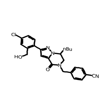 CCCCC1CN(Cc2ccc(C#N)cc2)C(=O)c2cc(-c3ccc(Cl)cc3CO)nn21